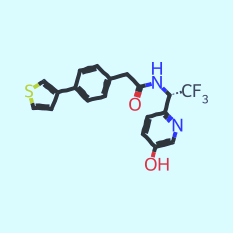 O=C(Cc1ccc(-c2ccsc2)cc1)N[C@@H](c1ccc(O)cn1)C(F)(F)F